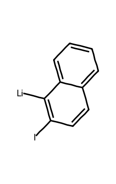 [Li][c]1c(I)ccc2ccccc12